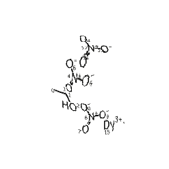 CCO.O=[N+]([O-])[O-].O=[N+]([O-])[O-].O=[N+]([O-])[O-].[Dy+3]